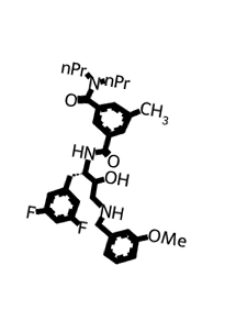 CCCN(CCC)C(=O)c1cc(C)cc(C(=O)N[C@@H](Cc2cc(F)cc(F)c2)C(O)CNCc2cccc(OC)c2)c1